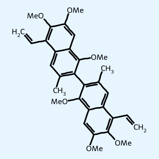 C=Cc1c(OC)c(OC)cc2c(OC)c(-c3c(C)cc4c(C=C)c(OC)c(OC)cc4c3OC)c(C)cc12